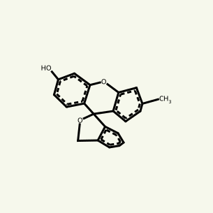 Cc1ccc2c(c1)Oc1cc(O)ccc1C21OCc2ccccc21